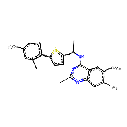 COc1cc2nc(C)nc(NC(C)c3ccc(-c4ccc(C(F)(F)F)cc4C)s3)c2cc1OC